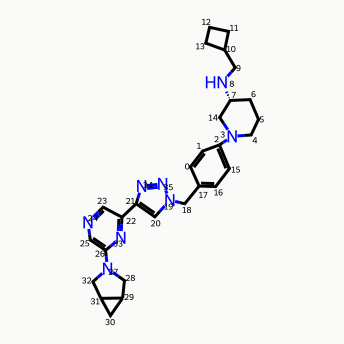 c1cc(N2CCC[C@@H](NCC3CCC3)C2)ccc1Cn1cc(-c2cncc(N3CC4CC4C3)n2)nn1